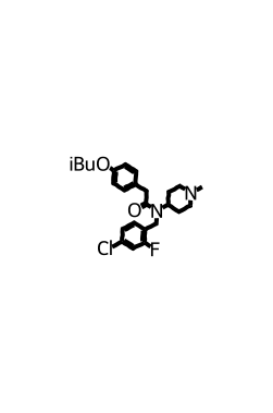 CC(C)COc1ccc(CC(=O)N(Cc2ccc(Cl)cc2F)C2CCN(C)CC2)cc1